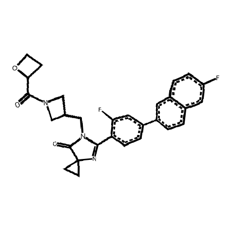 O=C(C1CCO1)N1CC(CN2C(=O)C3(CC3)N=C2c2ccc(-c3ccc4cc(F)ccc4c3)cc2F)C1